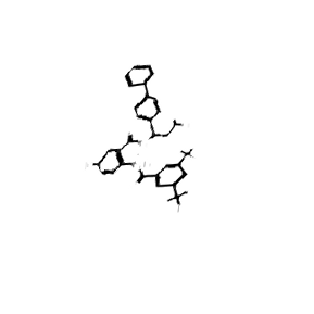 O=C(O)CC(NC(=O)c1cc(Br)ccc1NC(=O)c1cc(C(F)(F)F)cc(C(F)(F)F)c1)c1ccc(-c2ccccc2)cc1